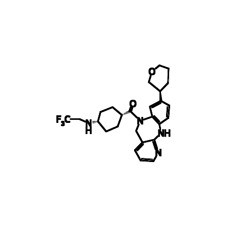 O=C([C@H]1CC[C@@H](NCC(F)(F)F)CC1)N1Cc2cccnc2Nc2ccc([C@@H]3CCCOC3)cc21